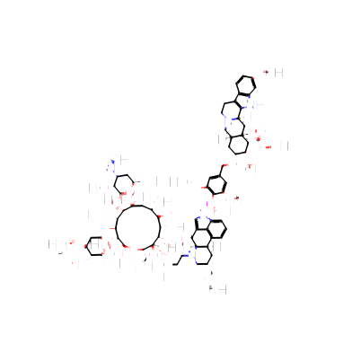 CCCN1C[C@H](CSC)C[C@@H]2c3cccc4[nH]cc(c34)C[C@H]21.CC[C@H]1OC(=O)[C@H](C)[C@@H](O[C@H]2C[C@@](C)(OC)[C@@H](O)[C@H](C)O2)[C@H](C)[C@@H](O[C@@H]2O[C@H](C)C[C@H](N(C)C)[C@H]2O)[C@](C)(O)C[C@@H](C)C(=O)[C@H](C)[C@@H](O)[C@]1(C)O.COC(=O)[C@H]1[C@H]2C[C@@H]3c4[nH]c5cc(OC)ccc5c4CCN3C[C@H]2C[C@@H](OC(=O)c2cc(OC)c(OC)c(OC)c2)[C@@H]1OC